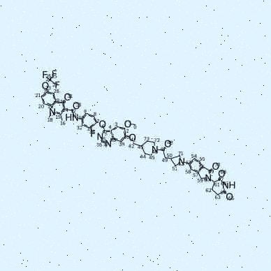 COc1cc2c(Oc3ccc(NC(=O)c4c(C)n(C)c5ccc(OC(F)(F)F)cc5c4=O)cc3F)ncnc2cc1OCC1CCN(C(=O)CC2CN(c3ccc4c(c3)CN(C3CCC(=O)NC3=O)C4=O)C2)CC1